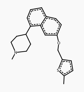 Cc1ccc(COc2ccc3cccc(C4CCN(C)CC4)c3c2)s1